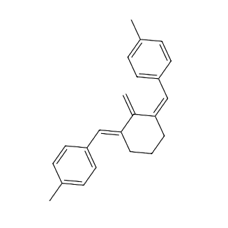 C=C1/C(=C\c2ccc(C)cc2)CCC/C1=C\c1ccc(C)cc1